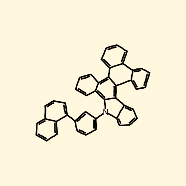 c1cc(-c2cccc3ccccc23)cc(-n2c3ccccc3c3c4c5ccccc5c5ccccc5c4c4ccccc4c32)c1